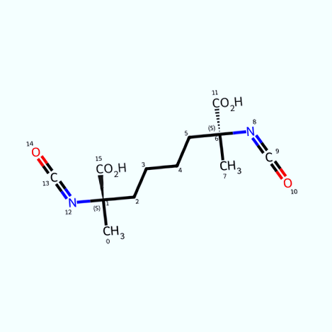 C[C@@](CCCC[C@](C)(N=C=O)C(=O)O)(N=C=O)C(=O)O